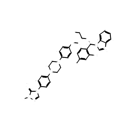 CCC(C)n1ncn(-c2ccc(N3CCN(c4ccc(OC[C@H](CO)O[C@H](c5ccc(Cl)cc5Cl)n5cnc6ccccc65)cc4)CC3)cc2)c1=O